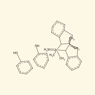 CC1=Cc2ccccc2[CH]1[Zr]([CH3])([CH3])(=[SiH2])[CH]1C(C)=Cc2ccccc21.Oc1ccccc1.Oc1ccccc1